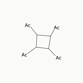 CC(=O)C1C(C(C)=O)C(C(C)=O)C1C(C)=O